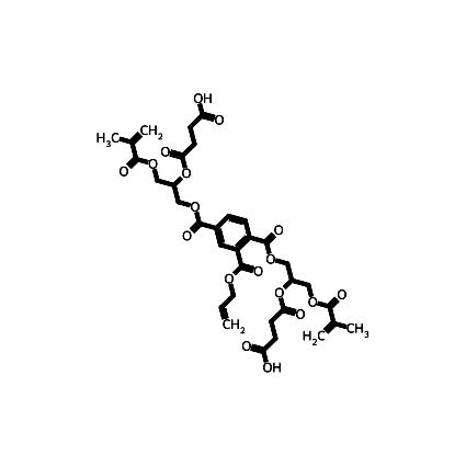 C=CCOC(=O)c1cc(C(=O)OCC(COC(=O)C(=C)C)OC(=O)CCC(=O)O)ccc1C(=O)OCC(COC(=O)C(=C)C)OC(=O)CCC(=O)O